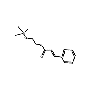 C[Si](C)(C)OCCOC(=O)C=Cc1ccccc1